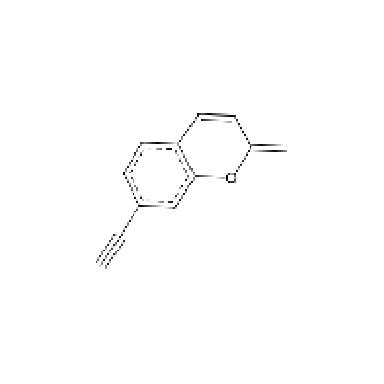 C#Cc1ccc2c(c1)OC(=C)C=C2